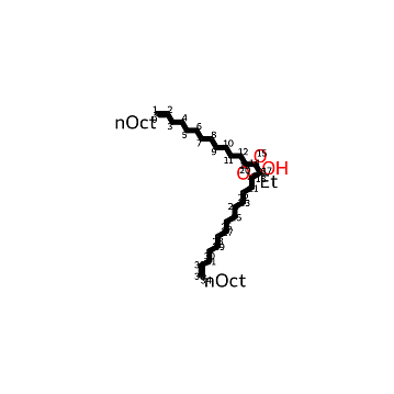 CCCCCCCC/C=C\CCCCCCCCCCCC(=O)C(O)(CC)C(=O)CCCCCCCCCCC/C=C\CCCCCCCC